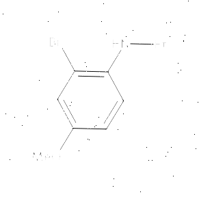 CCNc1ccc(OC)cc1Br